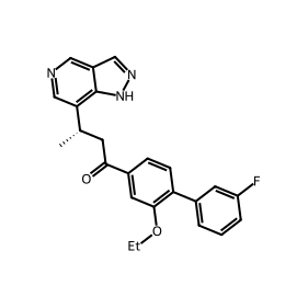 CCOc1cc(C(=O)C[C@H](C)c2cncc3cn[nH]c23)ccc1-c1cccc(F)c1